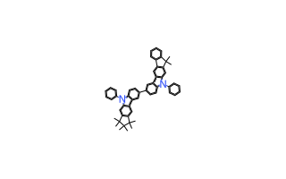 CC1(C)c2ccccc2-c2cc3c4cc(-c5ccc6c(c5)c5cc7c(cc5n6-c5ccccc5)C(C)(C)C(C)(C)C7(C)C)ccc4n(-c4ccccc4)c3cc21